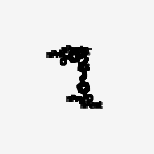 CCCCCN(CCC)C(=O)c1ccc(/C=C/c2ccc(/C=[N+](/[O-])c3ccc(C(=O)N(CCC)CCCCC)cc3)s2)cc1